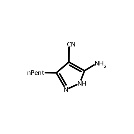 CCCCCc1n[nH]c(N)c1C#N